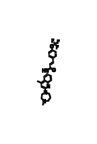 Cc1cc(N2CCCN(C)CC2)nc2ccc(NC(=O)C=Cc3ccc(OC(F)(F)F)cc3)cc12